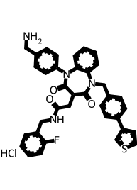 Cl.NCc1ccc(N2C(=O)C(CC(=O)NCc3ccccc3F)C(=O)N(Cc3ccc(-c4ccsc4)cc3)c3ccccc32)cc1